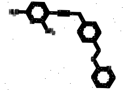 Cc1ccc(C#CCc2ccc(COc3ccccn3)cc2)c(N)n1